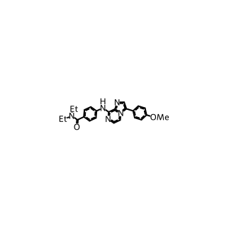 CCN(CC)C(=O)c1ccc(Nc2nccn3c(-c4ccc(OC)cc4)cnc23)cc1